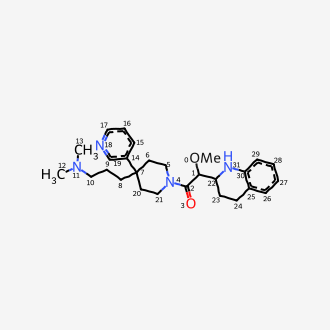 COC(C(=O)N1CCC(CCCN(C)C)(c2cccnc2)CC1)C1CCc2ccccc2N1